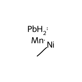 [CH3][Ni].[Mn].[PbH2]